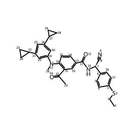 CCSc1ccc([C@H](C#N)NC(=O)c2ccc(N(C)c3cc(C4CC4)cc(C4CC4)c3)c(C(C)=O)c2)cc1